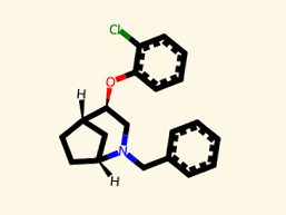 Clc1ccccc1O[C@H]1CN(Cc2ccccc2)[C@@H]2CC[C@H]1C2